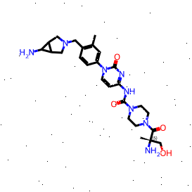 Cc1cc(-n2ccc(NC(=O)N3CCN(C(=O)[C@@](C)(N)CO)CC3)nc2=O)ccc1CN1CC2C(N)C2C1